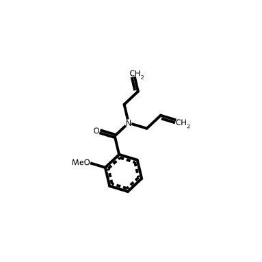 C=CCN(CC=C)C(=O)c1ccccc1OC